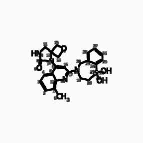 Cc1cccc2c(N3C(=O)NCC34COC4)cc(N3CCS(O)(O)c4ccccc4C3)nc12